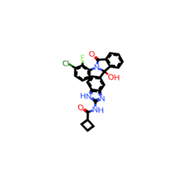 O=C(Nc1nc2cc(C3(O)c4ccccc4C(=O)N3c3cccc(Cl)c3F)ccc2[nH]1)C1CCC1